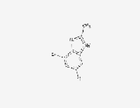 Cc1nc2c(Br)cc(Cl)cc2[nH]1